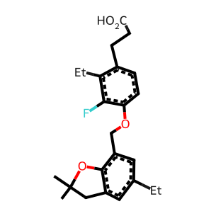 CCc1cc(COc2ccc(CCC(=O)O)c(CC)c2F)c2c(c1)CC(C)(C)O2